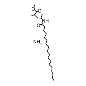 CCCCCCCCCCCCCCCCCC(=O)NC(C)CC(C)C(=O)OC.N